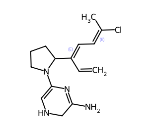 C=C/C(=C\C=C(/C)Cl)C1CCCN1C1=CNCC(N)=N1